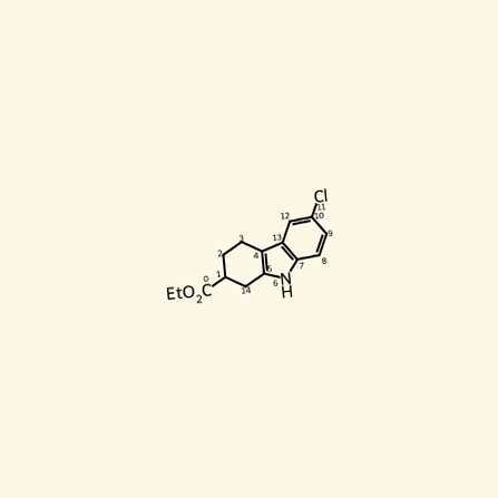 CCOC(=O)C1CCc2c([nH]c3ccc(Cl)cc23)C1